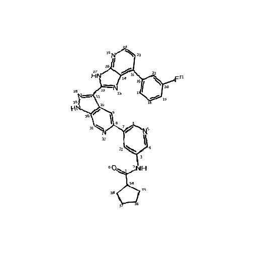 O=C(Nc1cncc(-c2cc3c(-c4nc5c(-c6cccc(F)c6)ccnc5[nH]4)n[nH]c3cn2)c1)C1CCCC1